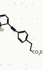 CCOC(=O)CCc1ccc(C#Cc2ccccc2Br)cc1